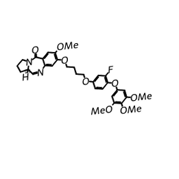 COc1cc2c(cc1OCCCCOc1ccc(Oc3cc(OC)c(OC)c(OC)c3)c(F)c1)N=C[C@@H]1CCCN1C2=O